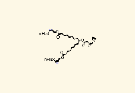 CCCCCC/C=C\COC(=O)CCCCCCCC(CCCCCCCC(=O)OC/C=C\CCCCCC)OC(=O)CN(C)CN1CC1